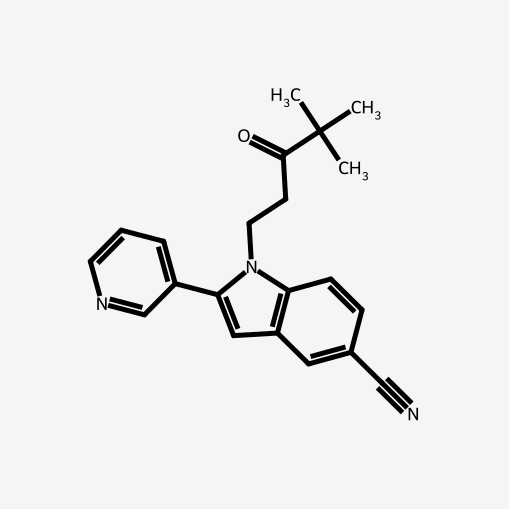 CC(C)(C)C(=O)CCn1c(-c2cccnc2)cc2cc(C#N)ccc21